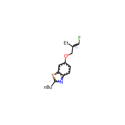 CCCCc1nc2ccc(OC/C(=C/F)CC)cc2s1